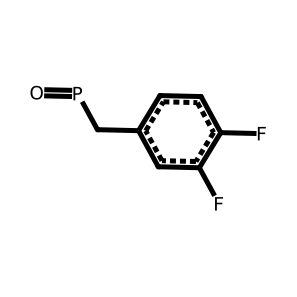 O=PCc1ccc(F)c(F)c1